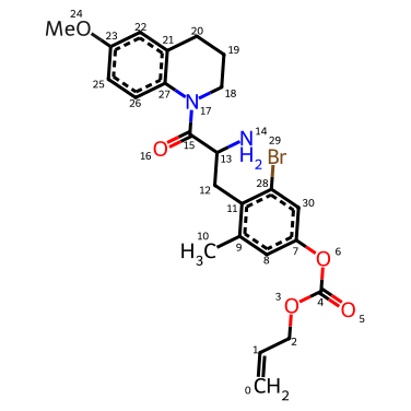 C=CCOC(=O)Oc1cc(C)c(CC(N)C(=O)N2CCCc3cc(OC)ccc32)c(Br)c1